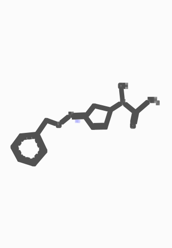 NC(=O)N(O)C1C=C/C(=N\OCc2ccccc2)C1